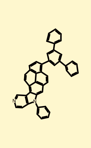 c1ccc(-c2cc(-c3ccccc3)cc(-c3ccc4ccc5c6c(ccc3c46)cc3c5c4cnccc4n3-c3ccccc3)c2)cc1